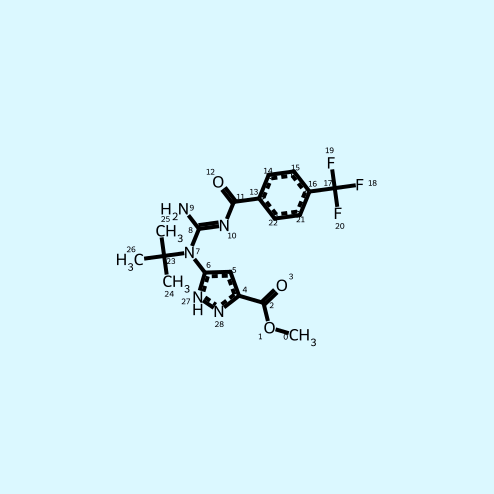 COC(=O)c1cc(N(C(N)=NC(=O)c2ccc(C(F)(F)F)cc2)C(C)(C)C)[nH]n1